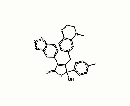 Cc1ccc(C2(O)OC(=O)C(c3ccc4nsnc4c3)=C2Cc2ccc3c(c2)N(C)CCO3)cc1